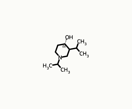 CC(C)C1CN(C(C)C)CC[C@@H]1O